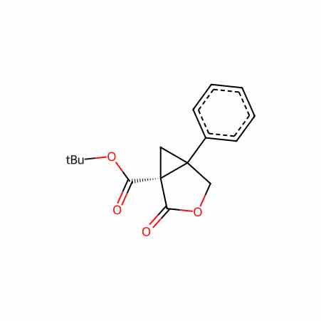 CC(C)(C)OC(=O)[C@]12CC1(c1ccccc1)COC2=O